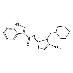 Cc1cs/c(=N\C(=O)c2c[nH]c3ncccc23)n1CC1CCCCC1